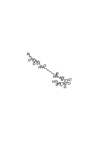 CN(C)C/C=C/C(=O)N1CCN(c2ccc(CCNC(=O)CCCCCCCCCC(=O)NCCn3ccc(-c4cc(Cl)c(Cl)c5[nH]c6c(c45)CN(C(=O)CO)CC6)n3)s2)C(=O)C1